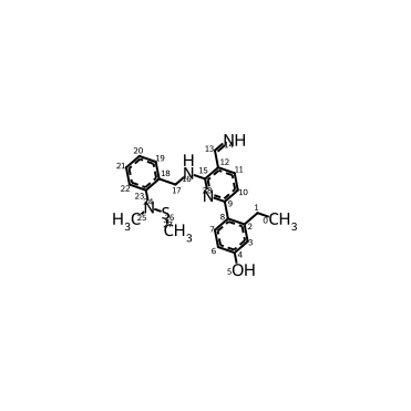 CCc1cc(O)ccc1-c1ccc(C=N)c(NCc2ccccc2N(C)SC)n1